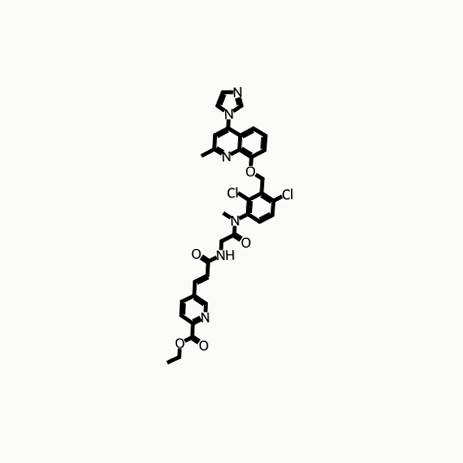 CCOC(=O)c1ccc(C=CC(=O)NCC(=O)N(C)c2ccc(Cl)c(COc3cccc4c(-n5ccnc5)cc(C)nc34)c2Cl)cn1